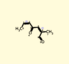 C/C=C\C(=O)/C=C(/C)C=O